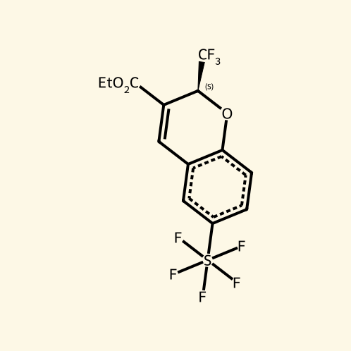 CCOC(=O)C1=Cc2cc(S(F)(F)(F)(F)F)ccc2O[C@@H]1C(F)(F)F